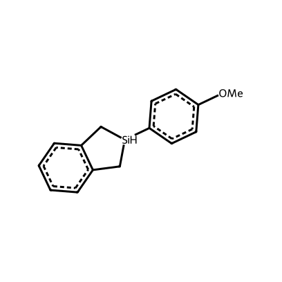 COc1ccc([SiH]2Cc3ccccc3C2)cc1